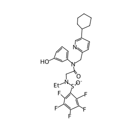 CCN(CC(=O)N(Cc1ccc(C2CCCCC2)cn1)c1cccc(O)c1)[S+]([O-])c1c(F)c(F)c(F)c(F)c1F